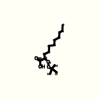 CCCCCCCCCC(OOC(C)(C)C)C(=O)O